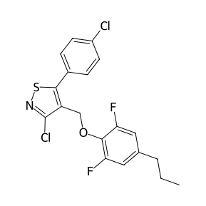 CCCc1cc(F)c(OCc2c(Cl)nsc2-c2ccc(Cl)cc2)c(F)c1